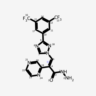 NNC(=O)/C(=C/n1cnc(-c2cc(C(F)(F)F)cc(C(F)(F)F)c2)n1)c1cnccn1